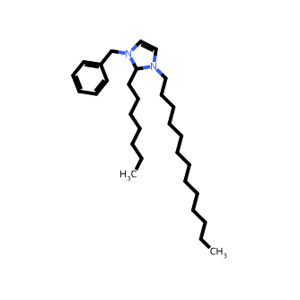 CCCCCCCCCCCCCN1C=CN(Cc2ccccc2)C1CCCCCCC